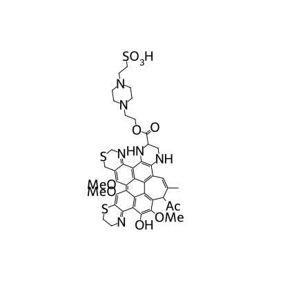 COc1c(O)c2c3c(c(OC)c4c5c(OC)c6c(c7c8c(c9c(c(c1C(C(C)=O)C(C)=C9)c24)c75)NCC(C(=O)OCCN1CCN(CCS(=O)(=O)O)CC1)N8)=NCSC6)SCCN=3